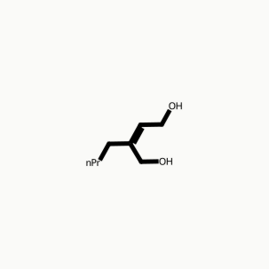 CCCCC(=CCO)CO